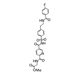 COC(=O)CNC(=O)c1ccc(C(=O)NS(=O)(=O)c2ccc(CCNC(=O)c3ccc(F)cc3)cc2)cn1